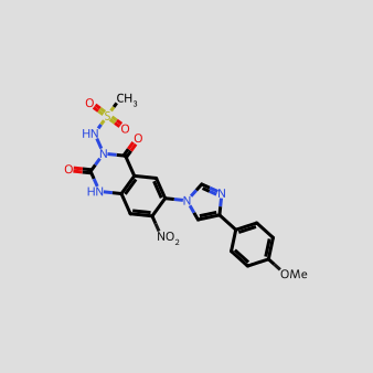 COc1ccc(-c2cn(-c3cc4c(=O)n(NS(C)(=O)=O)c(=O)[nH]c4cc3[N+](=O)[O-])cn2)cc1